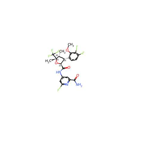 COc1c([C@@H]2[C@@H](C(=O)Nc3cc(F)nc(C(N)=O)c3)O[C@](C)(C(F)(F)F)[C@@H]2C)ccc(F)c1F